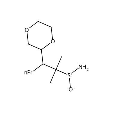 CCCC(C1COCCO1)C(C)(C)[S+](N)[O-]